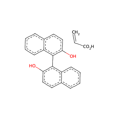 C=CC(=O)O.Oc1ccc2ccccc2c1-c1c(O)ccc2ccccc12